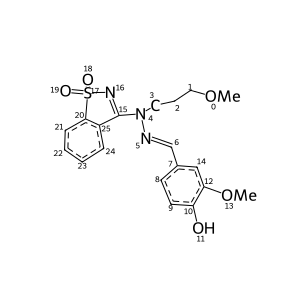 COCCCN(N=Cc1ccc(O)c(OC)c1)C1=NS(=O)(=O)c2ccccc21